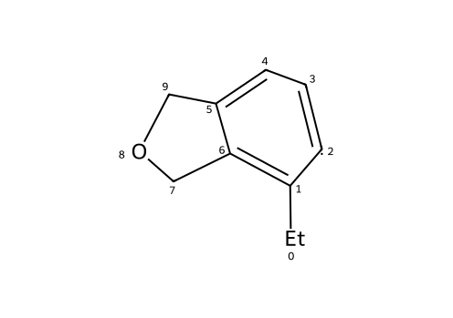 CCc1[c]ccc2c1COC2